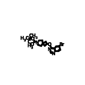 CC(C)(C)OC(=O)N1CCC2(CC1)CC(Oc1ncnc3ccc(Br)cc13)C2